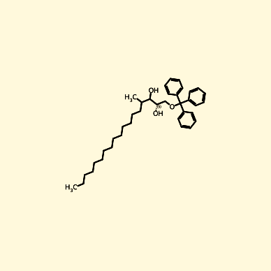 CCCCCCCCCCCCCCC(C)C(O)[C@@H](O)COC(c1ccccc1)(c1ccccc1)c1ccccc1